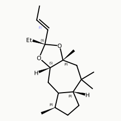 C/C=C/[C@@]1(CC)O[C@H]2CC3[C@H](C)CC[C@H]3C(C)(C)C[C@@]2(C)O1